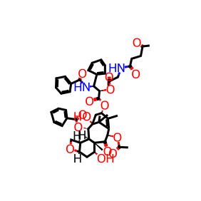 CC(=O)CCC(=O)NCC(=O)O[C@@H](C(=O)O[C@H]1C[C@@]2(O)[C@@H](OC(=O)c3ccccc3)[C@@H]3[C@@H]4CO[C@@H]4C[C@H](O)[C@@]3(C)C(=O)[C@H](OC(C)=O)C(=C1C)C2(C)C)[C@@H](NC(=O)c1ccccc1)c1ccccc1